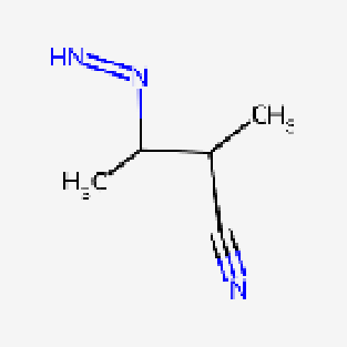 CC(C#N)C(C)N=N